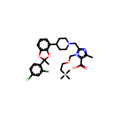 Cc1nc(CN2CCC(c3cccc4c3OC(C)(c3ccc(Cl)cc3F)O4)CC2)n(COCC[Si](C)(C)C)c1C(=O)O